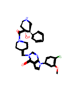 COc1cc(-n2ccc3c(=O)n(CC4CCN(C(=O)[C@@]5(O)CCNC[C@H]5c5ccccc5)CC4)cnc32)ccc1Cl